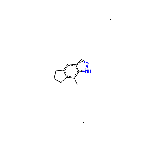 Cc1c2c(cc3cn[nH]c13)CCC2